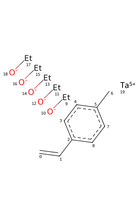 C=Cc1ccc(C)cc1.CC[O-].CC[O-].CC[O-].CC[O-].CC[O-].[Ta+5]